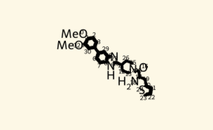 COc1ccc(-c2ccc3[nH]c(C4CCN(C(=O)C(N)Cc5cccs5)CC4)nc3c2)cc1OC